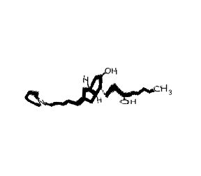 CCCCC[C@H](O)/C=C/[C@@H]1[C@H]2CC(=CCCCCN3CCCC3)C[C@H]2C[C@H]1O